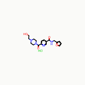 Cl.O=C(NCc1ccco1)c1ccc(C(=O)N2CCN(CCO)CC2)nc1